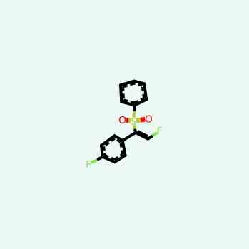 O=S(=O)(C(=CF)c1ccc(F)cc1)c1ccccc1